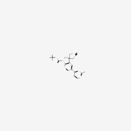 CCC1(CC#N)CN(C(=O)OC(C)(C)C)c2ncc(-c3ccnc(Cl)n3)cc21